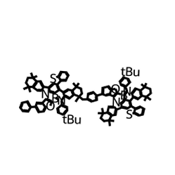 CC(C)(C)c1ccc(N2B3c4oc5ccc(-c6ccc(CC7(C)CCC(C)(C)c8cc9c(cc87)N(c7ccc(C(C)(C)C)cc7)B7c8oc%10ccc(-c%11ccccc%11)cc%10c8-n8c%10cc%11c(cc%10c%10c%12sc%13ccccc%13c%12c-9c7c%108)C(C)(C)CCC%11(C)C)cc6)cc5c4-n4c5cc6c(cc5c5c7sc8ccccc8c7c(c3c54)-c3cc4c(cc32)C(C)(C)CCC4(C)C)C(C)(C)CCC6(C)C)cc1